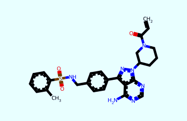 C=CC(=O)N1CCCC(n2nc(-c3ccc(CNS(=O)(=O)c4ccccc4C)cc3)c3c(N)ncnc32)C1